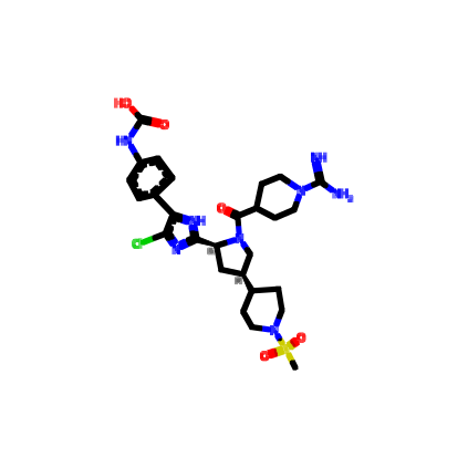 CS(=O)(=O)N1CCC([C@H]2C[C@@H](c3nc(Cl)c(-c4ccc(NC(=O)O)cc4)[nH]3)N(C(=O)C3CCN(C(=N)N)CC3)C2)CC1